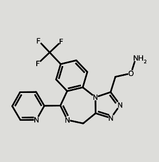 NOCc1nnc2n1-c1ccc(C(F)(F)F)cc1C(c1ccccn1)=NC2